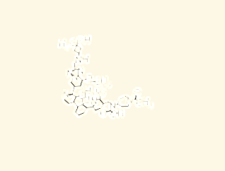 CCOc1cc(-c2nccc(-c3cccc(-c4ccc(CN(C(=O)O)C5CCN(C(C)=O)CC5)c(OC)n4)c3Cl)c2Cl)cn2nc(CNC3CC(C)(O)C3)nc12